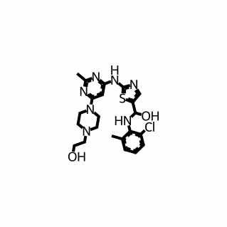 Cc1nc(Nc2ncc(C(O)Nc3c(C)cccc3Cl)s2)cc(N2CCN(CCO)CC2)n1